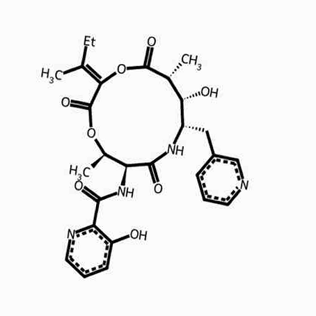 CCC(C)=C1OC(=O)[C@H](C)[C@H](O)[C@H](Cc2cccnc2)NC(=O)[C@@H](NC(=O)c2ncccc2O)[C@@H](C)OC1=O